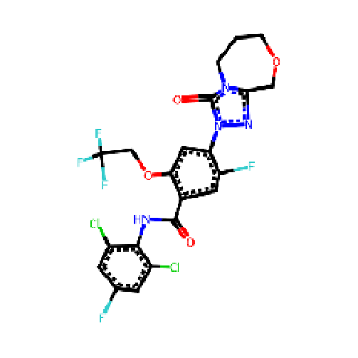 O=C(Nc1c(Cl)cc(F)cc1Cl)c1cc(F)c(-n2nc3n(c2=O)CCCOC3)cc1OCC(F)(F)F